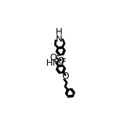 O=S(=O)(Nc1ccc(OCCCc2ccccc2)cc1F)c1ccc2c(c1)CCNCC2